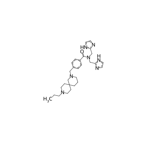 CCCN1CCC2(CCCN(Cc3ccc(C(=O)N(Cc4ncc[nH]4)Cc4ncc[nH]4)cc3)C2)CC1